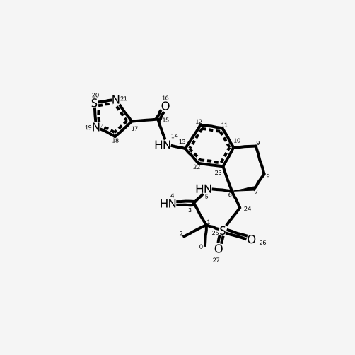 CC1(C)C(=N)N[C@@]2(CCCc3ccc(NC(=O)c4cnsn4)cc32)CS1(=O)=O